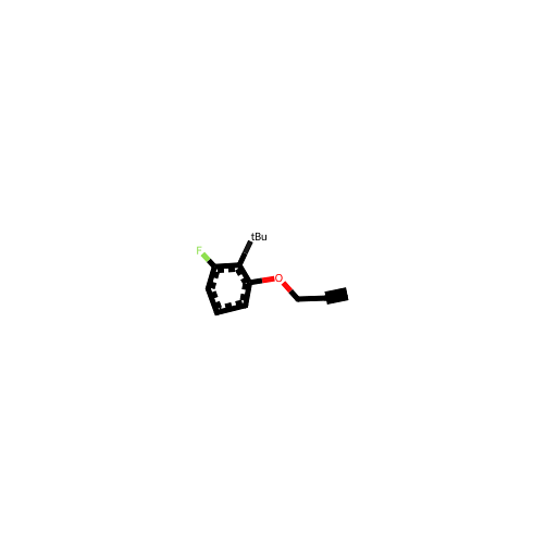 C#CCOc1cccc(F)c1C(C)(C)C